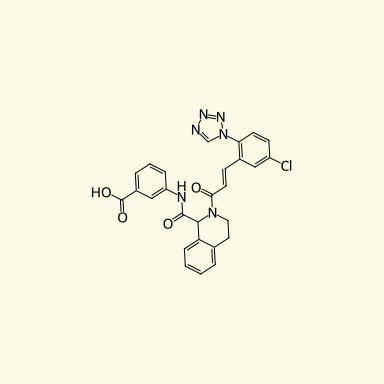 O=C(O)c1cccc(NC(=O)C2c3ccccc3CCN2C(=O)C=Cc2cc(Cl)ccc2-n2cnnn2)c1